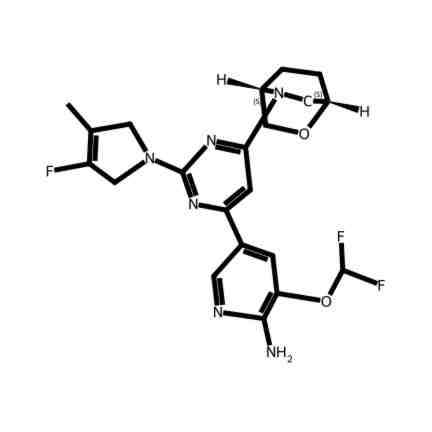 CC1=C(F)CN(c2nc(-c3cnc(N)c(OC(F)F)c3)cc(N3C[C@@H]4CC[C@H]3CO4)n2)C1